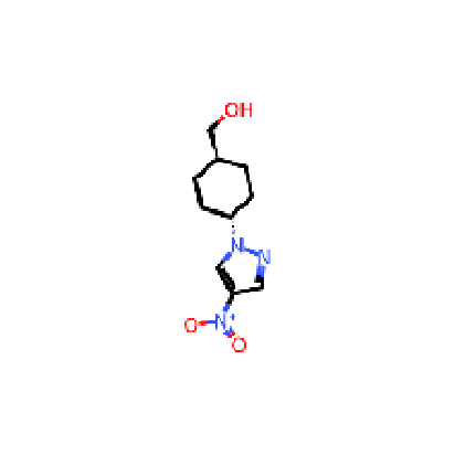 O=[N+]([O-])c1cnn([C@H]2CC[C@H](CO)CC2)c1